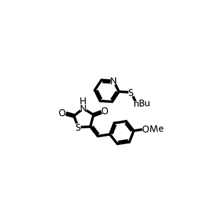 CCCCSc1ccccn1.COc1ccc(C=C2SC(=O)NC2=O)cc1